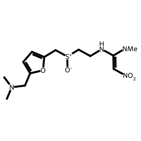 CNC(=C[N+](=O)[O-])NCC[S+]([O-])Cc1ccc(CN(C)C)o1